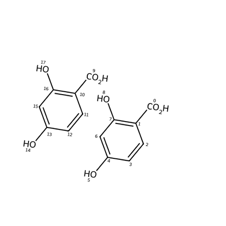 O=C(O)c1ccc(O)cc1O.O=C(O)c1ccc(O)cc1O